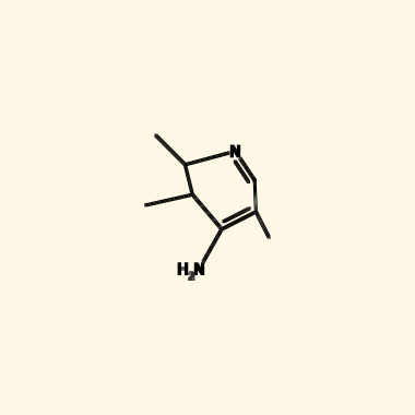 CC1=C(N)C(C)C(C)N=C1